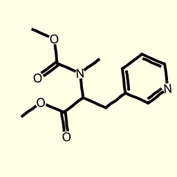 COC(=O)C(Cc1cccnc1)N(C)C(=O)OC